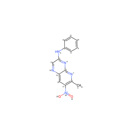 Cc1nc2nc(Nc3ccccc3)cnc2cc1[N+](=O)[O-]